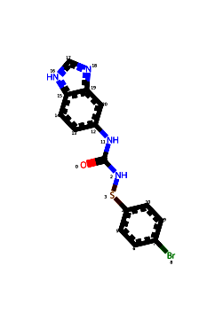 O=C(NSc1ccc(Br)cc1)Nc1ccc2[nH]cnc2c1